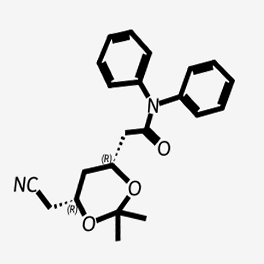 CC1(C)O[C@H](CC#N)C[C@H](CC(=O)N(c2ccccc2)c2ccccc2)O1